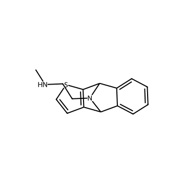 CNCCN1C2c3ccccc3C1c1sccc12